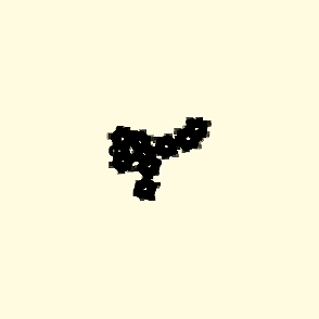 c1ccc(-c2ccc3c(-c4ccc(-c5ccc6ccccc6c5)cc4)c4ccccc4c(-c4cccc5oc6ccccc6c45)c3c2)cc1